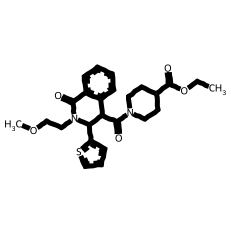 CCOC(=O)C1CCN(C(=O)C2c3ccccc3C(=O)N(CCOC)C2c2cccs2)CC1